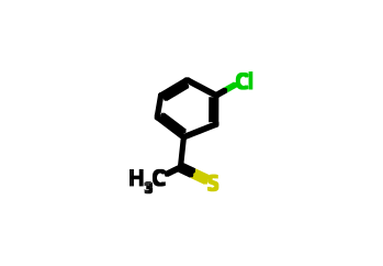 CC(=S)c1cccc(Cl)c1